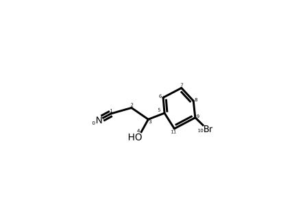 N#CCC(O)c1cccc(Br)c1